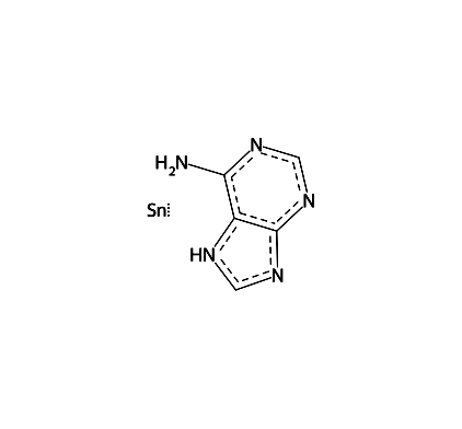 Nc1ncnc2nc[nH]c12.[Sn]